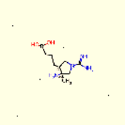 C[C@]1(N)CN(C(=N)N)C[C@@H]1CCCB(O)O